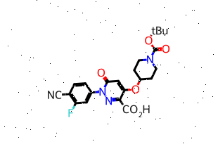 CC(C)(C)OC(=O)N1CCC(Oc2cc(=O)n(-c3ccc(C#N)c(F)c3)nc2C(=O)O)CC1